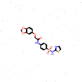 O=C(COc1ccc2c(c1)OCO2)Nc1ccc(S(=O)(=O)Nc2nccs2)cc1